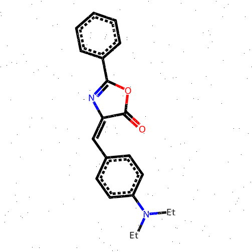 CCN(CC)c1ccc(/C=C2/N=C(c3ccccc3)OC2=O)cc1